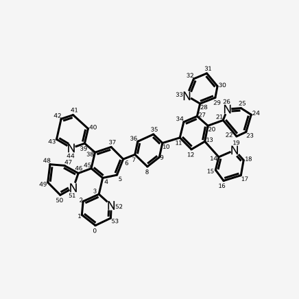 c1ccc(-c2cc(-c3ccc(-c4cc(-c5ccccn5)c(-c5ccccn5)c(-c5ccccn5)c4)cc3)cc(-c3ccccn3)c2-c2ccccn2)nc1